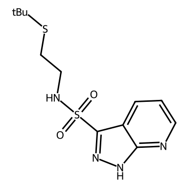 CC(C)(C)SCCNS(=O)(=O)c1n[nH]c2ncccc12